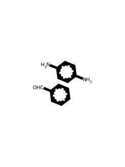 Nc1ccc(N)cc1.O=Cc1ccccc1